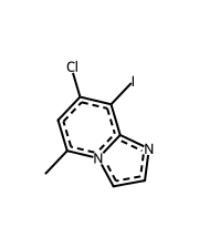 Cc1cc(Cl)c(I)c2nccn12